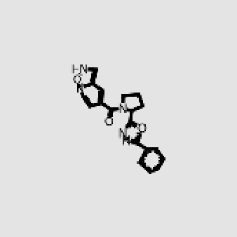 O=C(C1=CC2=CNON2C=C1)N1CCCC1c1nnc(-c2ccccc2)o1